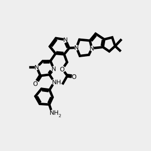 CC(=O)OCc1c(-c2cn(C)c(=O)c(Nc3cccc(N)c3)n2)ccnc1N1CCn2c(cc3c2CC(C)(C)C3)C1